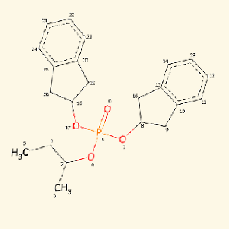 CCC(C)OP(=O)(OC1Cc2ccccc2C1)OC1Cc2ccccc2C1